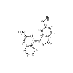 NC(=O)O[C@@H](c1ccccc1)C1COc2ccc(CBr)cc21